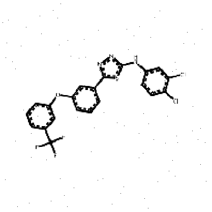 FC(F)(F)c1cccc(Oc2cccc(-c3nnc(Nc4ccc(Cl)c(Cl)c4)s3)c2)c1